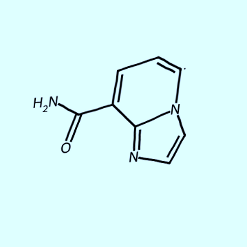 NC(=O)c1cc[c]n2ccnc12